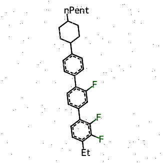 CCCCCC1CCC(c2ccc(-c3ccc(-c4ccc(CC)c(F)c4F)cc3F)cc2)CC1